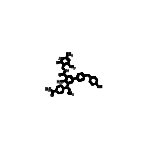 CCN(c1cc(-c2ccc(CN3CCC(O)CC3)cc2)cc(C(=O)NCc2c(C)cc(C)[nH]c2=O)c1C)C1CCN(C(C)=O)CC1